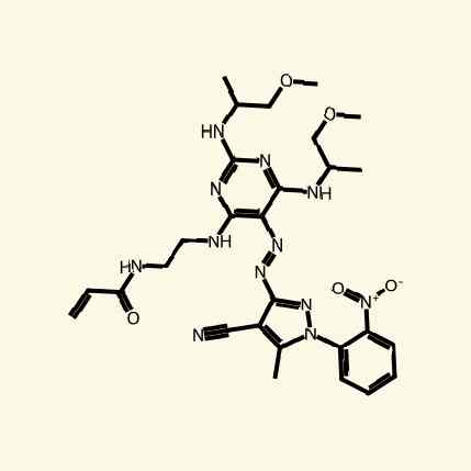 C=CC(=O)NCCNc1nc(NC(C)COC)nc(NC(C)COC)c1N=Nc1nn(-c2ccccc2[N+](=O)[O-])c(C)c1C#N